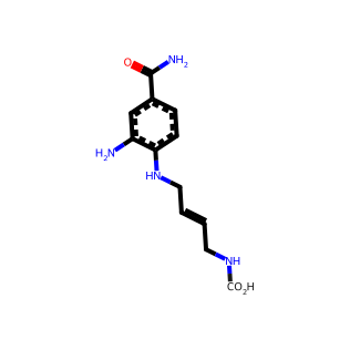 NC(=O)c1ccc(NC/C=C/CNC(=O)O)c(N)c1